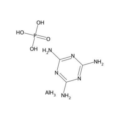 Nc1nc(N)nc(N)n1.O=P(O)(O)O.[AlH3]